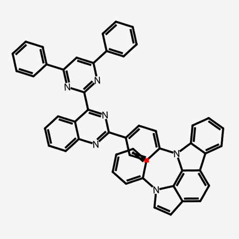 c1ccc(-c2cc(-c3ccccc3)nc(-c3nc(-c4ccc(-n5c6ccccc6c6ccc7ccn(-c8ccccc8)c7c65)cc4)nc4ccccc34)n2)cc1